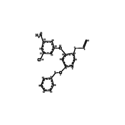 C=CCc1cnc(OCc2ccccc2)cc1Oc1cc(N)cc(Cl)c1